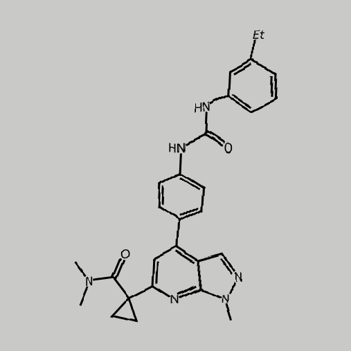 CCc1cccc(NC(=O)Nc2ccc(-c3cc(C4(C(=O)N(C)C)CC4)nc4c3cnn4C)cc2)c1